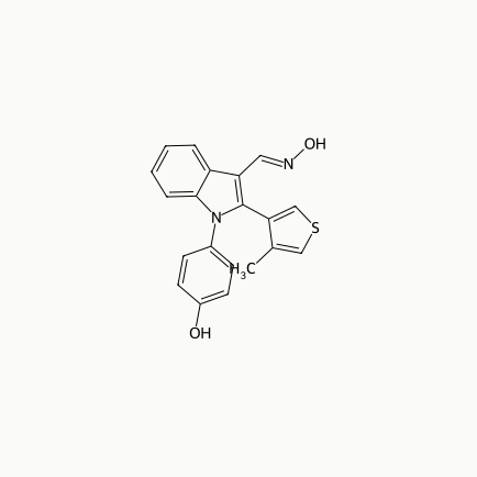 Cc1cscc1-c1c(C=NO)c2ccccc2n1-c1ccc(O)cc1